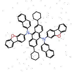 c1ccc2cc(N(c3ccc4c(c3)oc3ccccc34)c3c4ccc(C5CCCCC5)cc4c(N(c4ccc5ccccc5c4)c4ccc5c(c4)oc4ccccc45)c4ccc(C5CCCCC5)cc34)ccc2c1